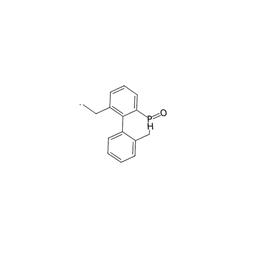 [CH2]Cc1cccc2c1-c1ccccc1C[PH]2=O